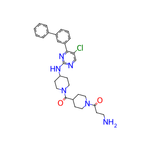 NCCC(=O)N1CCC(C(=O)N2CCC(Nc3ncc(Cl)c(-c4cccc(-c5ccccc5)c4)n3)CC2)CC1